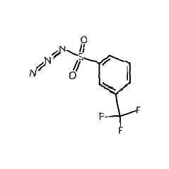 [N-]=[N+]=NS(=O)(=O)c1cccc(C(F)(F)F)c1